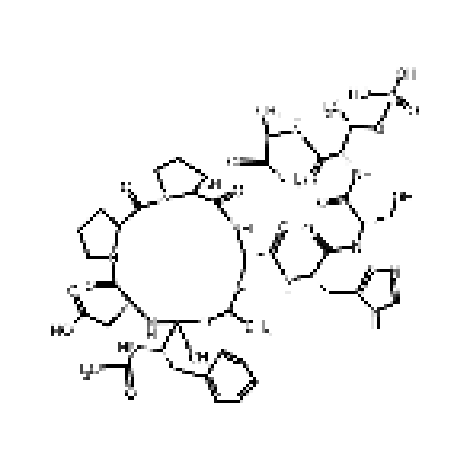 CC(=O)N[C@@H](Cc1ccccc1)C1(C)N[C@@H](CC(=O)O)C(=O)N2CCCC2C(=O)N2CCC[C@H]2C(=O)N[C@H](C(=O)N[C@@H](Cc2cnc[nH]2)C(=O)N[C@@H](CO)C(=O)N[C@H](C(=O)NC(C)C(N)=O)[C@@H](C)OP(=O)(O)O)CC(C)O1